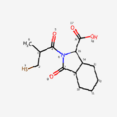 CC(CS)C(=O)N1C(=O)C2CCCCC2C1C(=O)O